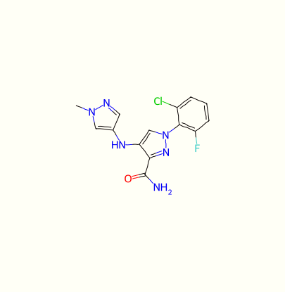 Cn1cc(Nc2cn(-c3c(F)cccc3Cl)nc2C(N)=O)cn1